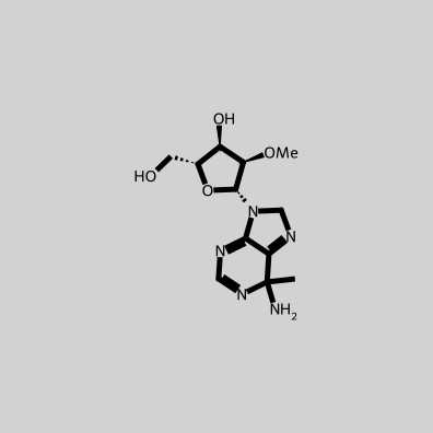 CO[C@@H]1[C@H](O)[C@@H](CO)O[C@H]1N1CN=C2C1=NC=NC2(C)N